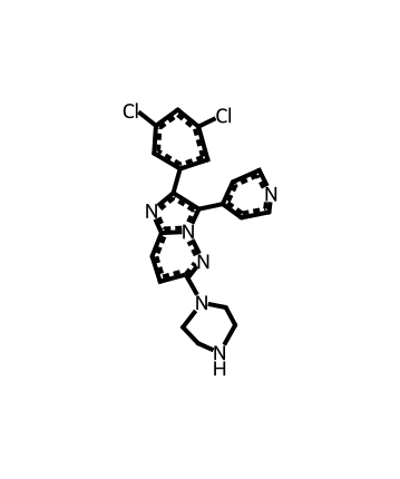 Clc1cc(Cl)cc(-c2nc3ccc(N4CCNCC4)nn3c2-c2ccncc2)c1